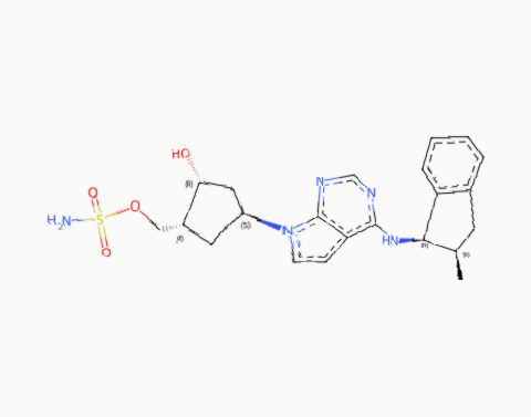 C[C@@H]1Cc2ccccc2[C@@H]1Nc1ncnc2c1ccn2[C@H]1C[C@H](COS(N)(=O)=O)[C@H](O)C1